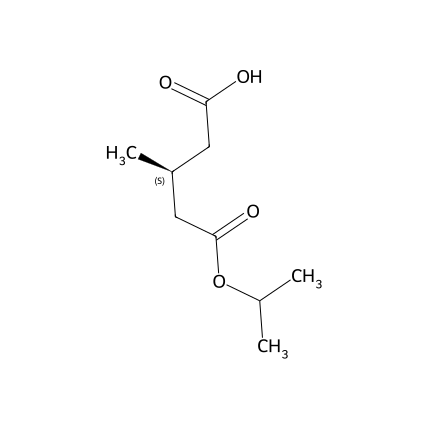 CC(C)OC(=O)C[C@@H](C)CC(=O)O